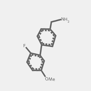 COc1ccc(F)c(-c2ccc(CN)cc2)c1